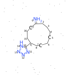 NC1CCCCCCCC(c2nnn[nH]2)CCC1